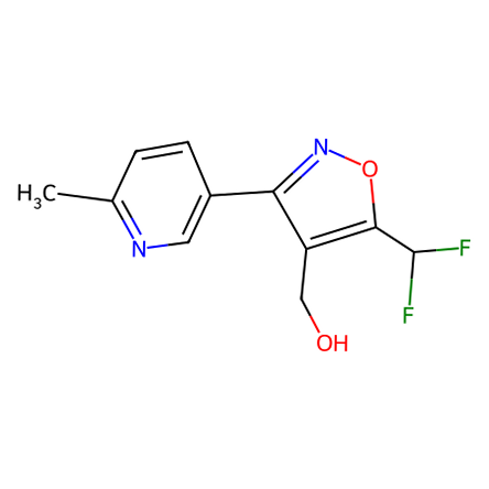 Cc1ccc(-c2noc(C(F)F)c2CO)cn1